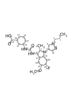 CCCn1cc(-n2c(C)c(NC(=O)Nc3cccc(C(=O)O)c3)c3cc(OC)c(F)cc32)cn1